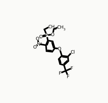 CCOP(=O)(CC)c1cc(Oc2ccc(C(F)(F)F)cc2Cl)ccc1[N+](=O)[O-]